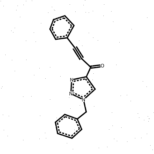 O=C(C#Cc1ccccc1)c1cn(Cc2ccccc2)nn1